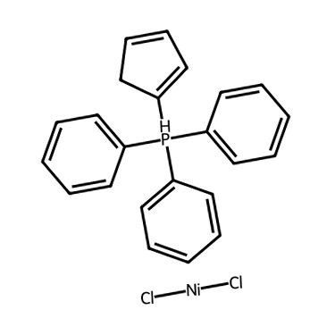 C1=CCC([PH](c2ccccc2)(c2ccccc2)c2ccccc2)=C1.[Cl][Ni][Cl]